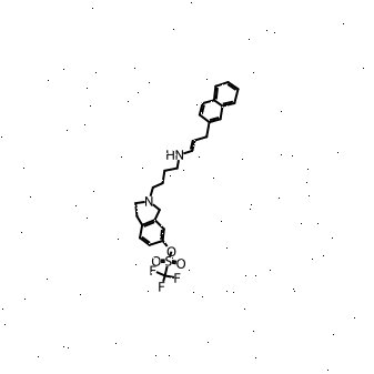 O=S(=O)(Oc1ccc2c(c1)CN(CCCCNC=CCc1ccc3ccccc3c1)CC2)C(F)(F)F